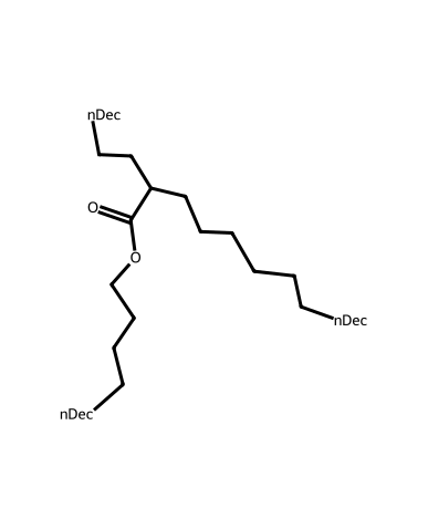 CCCCCCCCCCCCCCCCC(CCCCCCCCCCCC)C(=O)OCCCCCCCCCCCCCC